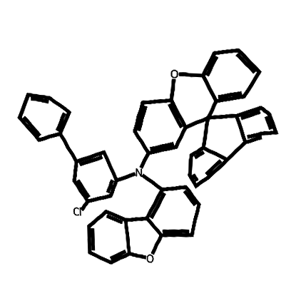 Clc1cc(-c2ccccc2)cc(N(c2ccc3c(c2)C2(c4ccccc4O3)c3ccccc3-c3ccccc32)c2cccc3oc4ccccc4c23)c1